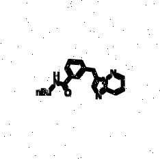 CCCCNC(=O)c1cccc(Cc2cnc3cccnn23)c1